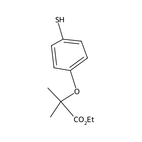 CCOC(=O)C(C)(C)Oc1ccc(S)cc1